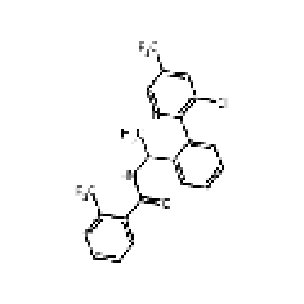 CC(NC(=O)c1ccccc1C(F)(F)F)c1ccccc1-c1ncc(C(F)(F)F)cc1Cl